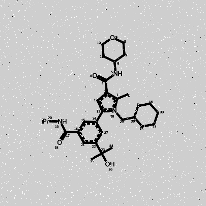 Cc1c(C(=O)NC2CCOCC2)cc(-c2cc(C(=O)NC(C)C)cc(C(C)(C)O)c2)n1CC1CCCCC1